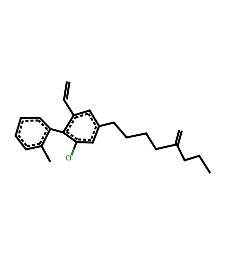 C=Cc1cc(CCCCC(=C)CCC)cc(Cl)c1-c1ccccc1C